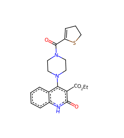 CCOC(=O)c1c(N2CCN(C(=O)C3=CCCS3)CC2)c2ccccc2[nH]c1=O